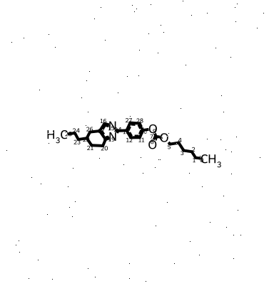 CCCCCCOC(=O)Oc1ccc(-c2ncc3c(n2)CCC(CCC)C3)cc1